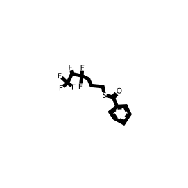 O=C(SCCCC(F)(F)C(F)C(F)(F)F)c1ccccc1